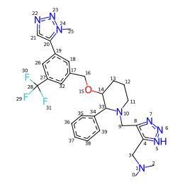 CN(C)Cc1[nH]nnc1CN1CCCC(OCc2cc(-c3cnnn3C)cc(C(F)(F)F)c2)C1c1ccccc1